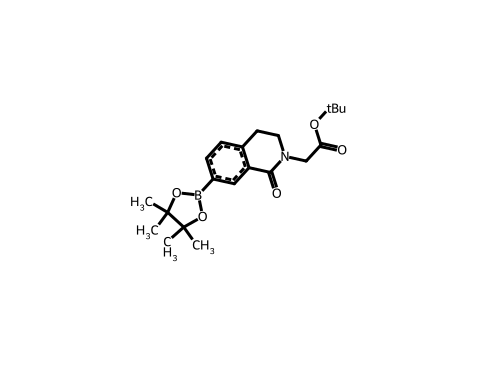 CC(C)(C)OC(=O)CN1CCc2ccc(B3OC(C)(C)C(C)(C)O3)cc2C1=O